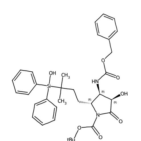 CC(C)(C)OC(=O)N1C(=O)[C@H](O)[C@H](NC(=O)OCc2ccccc2)[C@H]1CCC(C)(C)[Si](O)(c1ccccc1)c1ccccc1